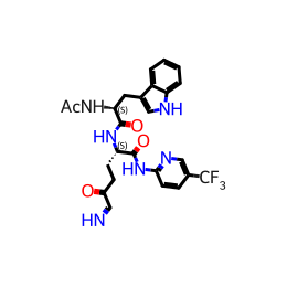 CC(=O)N[C@@H](Cc1c[nH]c2ccccc12)C(=O)N[C@@H](CCC(=O)C=N)C(=O)Nc1ccc(C(F)(F)F)cn1